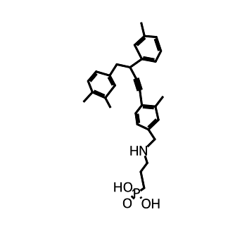 Cc1cccc(C(C#Cc2ccc(CNCCCP(=O)(O)O)cc2C)Cc2ccc(C)c(C)c2)c1